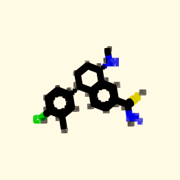 CN[C@H]1CC[C@@H](c2ccc(Cl)c(C)c2)c2ccc(C(N)=S)cc21